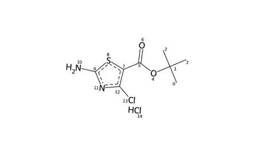 CC(C)(C)OC(=O)c1sc(N)nc1Cl.Cl